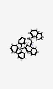 O=C1C([Si](c2ccccc2)(c2ccccc2)c2ccccc2)=Cc2ccccc2/C1=C/Nc1cccc2cccnc12